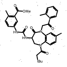 COC(=O)c1cc(NC(=O)NC2CN(C(=O)CC(C)(C)C)c3ccc(C)cc3N(CC(=O)c3ccccc3C)C2=O)ccc1C